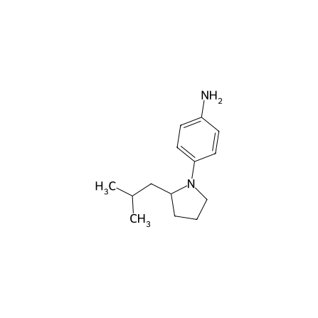 CC(C)CC1CCCN1c1ccc(N)cc1